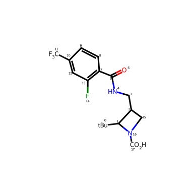 CC(C)(C)C1C(CNC(=O)c2ccc(C(F)(F)F)cc2F)CN1C(=O)O